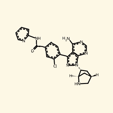 Nc1ncnc2c1c(-c1ccc(C(=O)Nc3ccccn3)cc1Cl)nn2[C@@H]1C[C@@H]2CN[C@@H]1C2